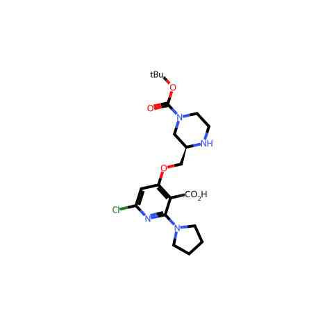 CC(C)(C)OC(=O)N1CCN[C@@H](COc2cc(Cl)nc(N3CCCC3)c2C(=O)O)C1